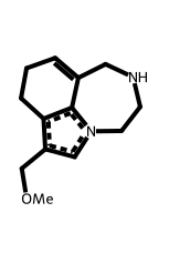 COCc1cn2c3c1CCC=C3CNCC2